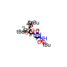 CC(C)(C)OC(=O)Nc1ccn([C@H]2CC(O[Si](C)(C)C(C)(C)C)[C@@H](CO[Si](C)(C)C(C)(C)C)O2)c(=O)n1